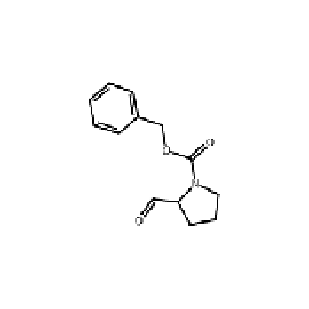 O=[C]C1CCCN1C(=O)OCc1ccccc1